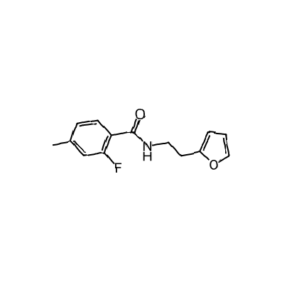 Cc1ccc(C(=O)NCCc2ccco2)c(F)c1